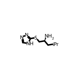 CC(C)C[C@H](N)CSc1nnc[nH]1